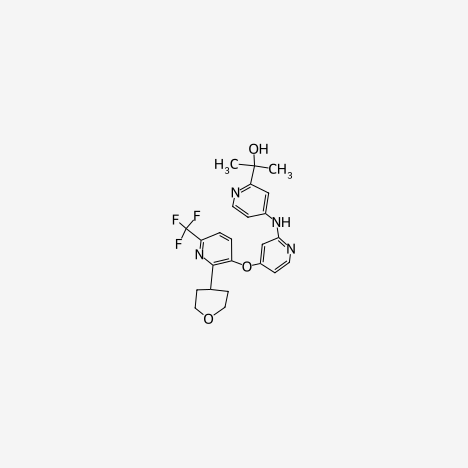 CC(C)(O)c1cc(Nc2cc(Oc3ccc(C(F)(F)F)nc3C3CCOCC3)ccn2)ccn1